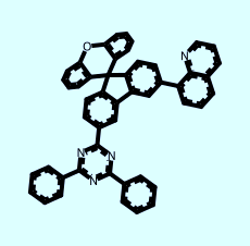 c1ccc(-c2nc(-c3ccccc3)nc(-c3ccc4c(c3)-c3cc(-c5cccc6cccnc56)ccc3C43c4ccccc4Oc4ccccc43)n2)cc1